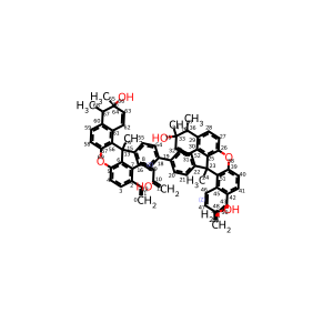 C=Cc1ccc2c(c1/C=C\C(=C)O)C(C)(c1ccc(-c3ccc(C4(C)c5c(ccc6c5C=CC(C)(O)[C@H]6C)Oc5ccc(C=C)c(/C=C\C(=C)O)c54)cc3)cc1)c1c(ccc3c1C=C[C@@](C)(O)C3C)O2